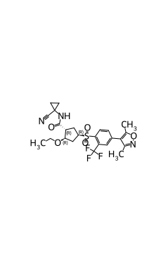 CCO[C@@H]1C[C@H](S(=O)(=O)c2ccc(-c3c(C)noc3C)cc2C(F)(F)F)C[C@H]1C(=O)NC1(C#N)CC1